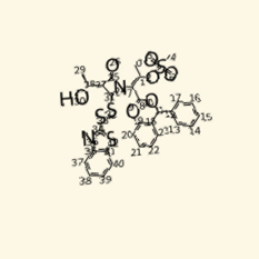 C/C(OS(C)(=O)=O)=C(/C(=O)OC(c1ccccc1)c1ccccc1)N1C(=O)C([C@H](C)O)C1SSc1nc2ccccc2s1